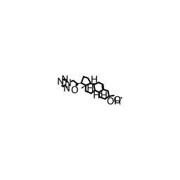 COC[C@@]1(O)CC[C@H]2C(=CC[C@@H]3[C@@H]2CC[C@]2(C)[C@@H](C(=O)Cn4ncnn4)CC[C@@H]32)C1